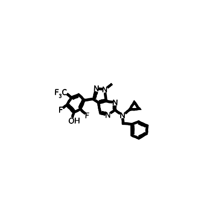 Cn1nc(-c2cc(C(F)(F)F)c(F)c(O)c2F)c2cnc(N(Cc3ccccc3)C3CC3)nc21